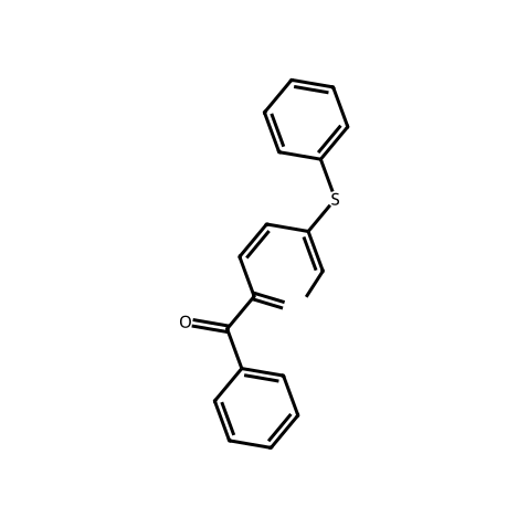 C=C(/C=C\C(=C/C)Sc1ccccc1)C(=O)c1ccccc1